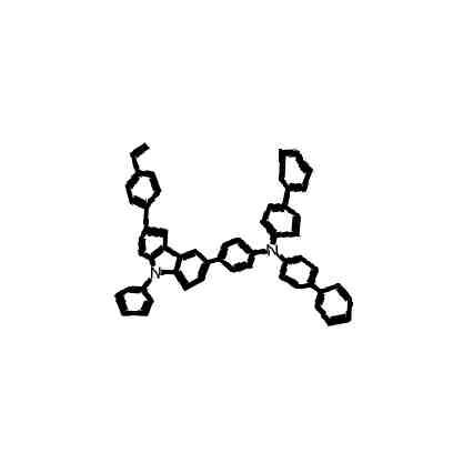 C=Cc1ccc(-c2ccc3c(c2)c2cc(-c4ccc(N(c5ccc(-c6ccccc6)cc5)c5ccc(-c6ccccc6)cc5)cc4)ccc2n3-c2ccccc2)cc1